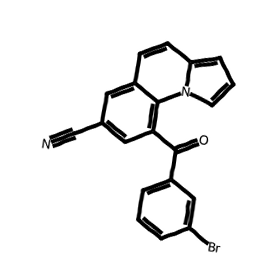 N#Cc1cc(C(=O)c2cccc(Br)c2)c2c(ccc3cccn32)c1